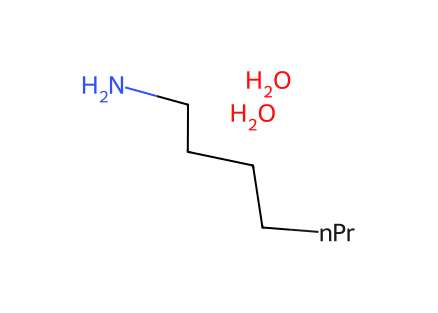 CCCCCCCN.O.O